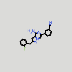 N#Cc1cccc(-c2cn3nc(Cc4ccccc4F)cc3c(N)n2)c1